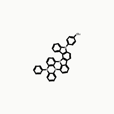 CC(C)(C)c1ccc(-n2c3ccccc3c3c2ccc2c4cccc5c4n(c23)-c2cccc3c2B5c2ccccc2N3c2ccccc2)cc1